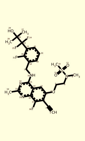 C#Cc1c(OCCN(C)S(C)(=O)=O)cc2c(NCc3cccc(C(F)(F)C(C)(C)O)c3F)nc(C)nc2c1F